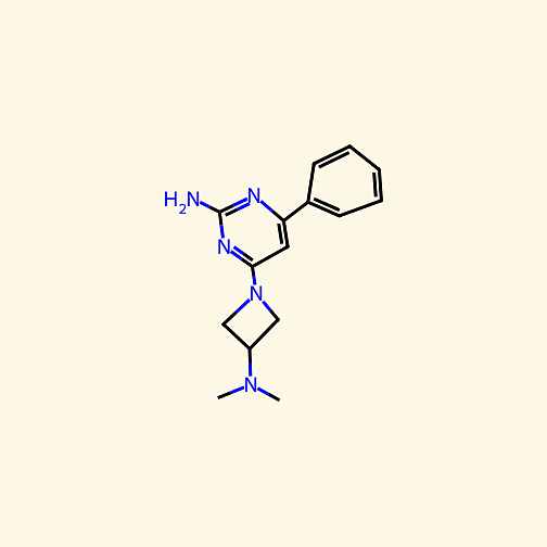 CN(C)C1CN(c2cc(-c3ccccc3)nc(N)n2)C1